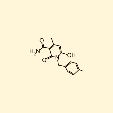 Cc1ccc(Cn2c(O)cc(C)c(C(N)=O)c2=O)cc1